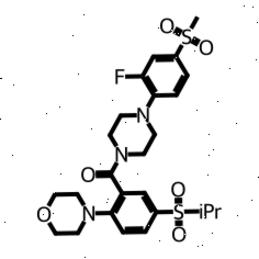 CC(C)S(=O)(=O)c1ccc(N2CCOCC2)c(C(=O)N2CCN(c3ccc(S(C)(=O)=O)cc3F)CC2)c1